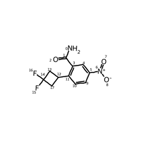 NC(=O)c1cc([N+](=O)[O-])ccc1C1CC(F)(F)C1